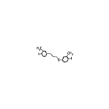 Cc1cc(CCCSc2ccc(I)c(C)c2)ccc1I